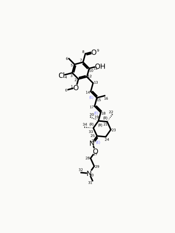 COc1c(Cl)c(C)c(C=O)c(O)c1C/C=C(C)/C=C/[C@@]1(C)[C@H](C)CC/C(=N\OCCN(C)C)[C@@H]1C